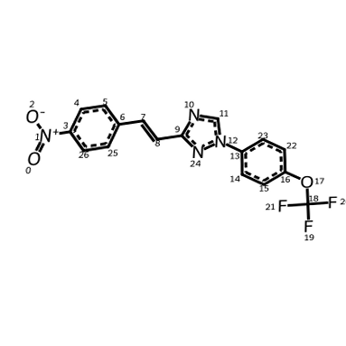 O=[N+]([O-])c1ccc(/C=C/c2ncn(-c3ccc(OC(F)(F)F)cc3)n2)cc1